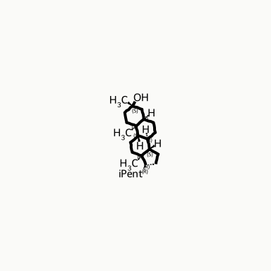 CCC[C@@H](C)[C@H]1CC[C@H]2[C@@H]3CC[C@@H]4C[C@@](C)(O)CC[C@]4(C)[C@H]3CC[C@]12C